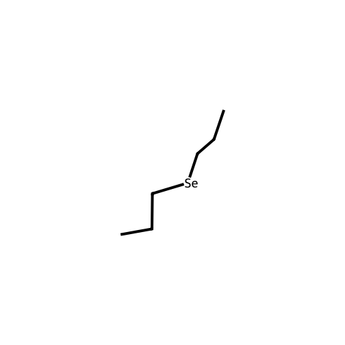 CCC[Se]CCC